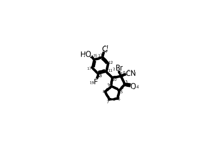 N#CC1(Br)C(=O)C2CCCC2C1c1cc(Cl)c(O)cc1F